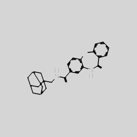 O=C(NCC12CC3CC(CC(C3)C1)C2)c1ccc2c(c1)NC(=O)c1ccccc1S2